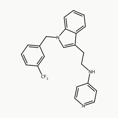 FC(F)(F)c1cccc(Cn2cc(CCNc3ccncc3)c3ccccc32)c1